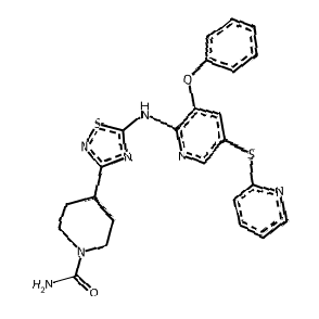 NC(=O)N1CCC(c2nsc(Nc3ncc(Sc4ccccn4)cc3Oc3ccccc3)n2)CC1